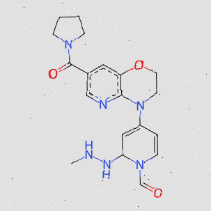 CNNC1C=C(N2CCOc3cc(C(=O)N4CCCC4)cnc32)C=CN1C=O